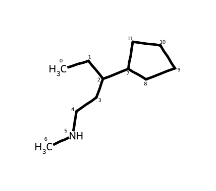 CCC(CCNC)C1CCCC1